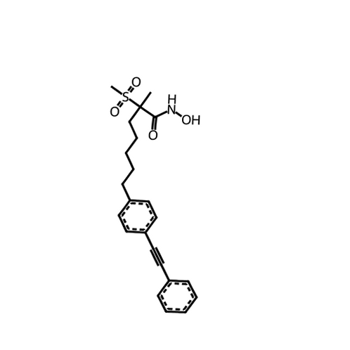 CC(CCCCCc1ccc(C#Cc2ccccc2)cc1)(C(=O)NO)S(C)(=O)=O